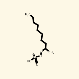 CCCCCCCCC(C)OOS(=O)(=O)O